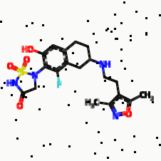 Cc1noc(C)c1CCNC1CCc2cc(O)c(N3CC(=O)NS3(=O)=O)c(F)c2C1